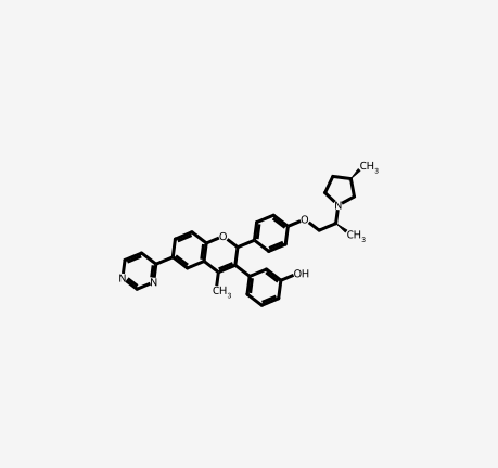 CC1=C(c2cccc(O)c2)C(c2ccc(OC[C@H](C)N3CC[C@@H](C)C3)cc2)Oc2ccc(-c3ccncn3)cc21